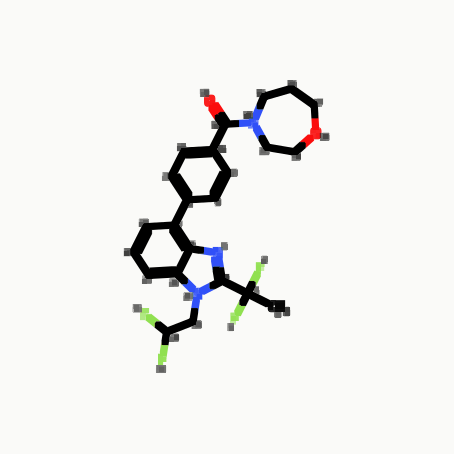 CC(F)(F)c1nc2c(-c3ccc(C(=O)N4CCCOCC4)cc3)cccc2n1CC(F)F